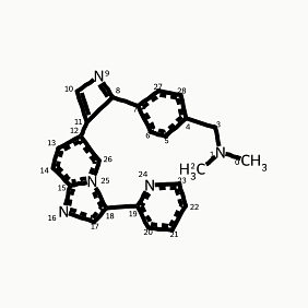 CN(C)Cc1ccc(C2=NC=C2c2ccc3ncc(-c4ccccn4)n3c2)cc1